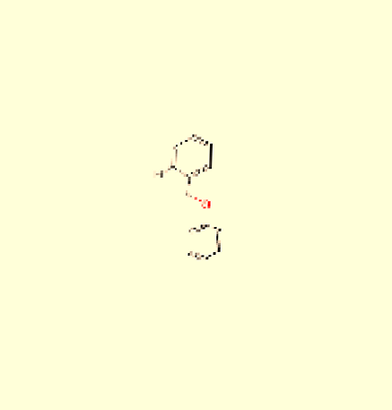 CCc1ccccc1COc1ccccc1